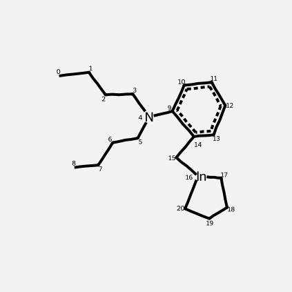 CCCCN(CCCC)c1ccccc1[CH2][In]1[CH2]CC[CH2]1